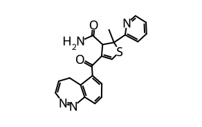 CC1(c2ccccn2)SC=C(C(=O)c2cccc3c2CC=CN=N3)C1C(N)=O